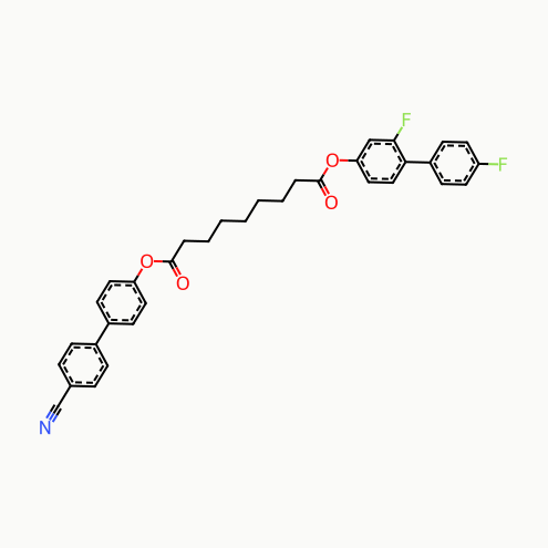 N#Cc1ccc(-c2ccc(OC(=O)CCCCCCCC(=O)Oc3ccc(-c4ccc(F)cc4)c(F)c3)cc2)cc1